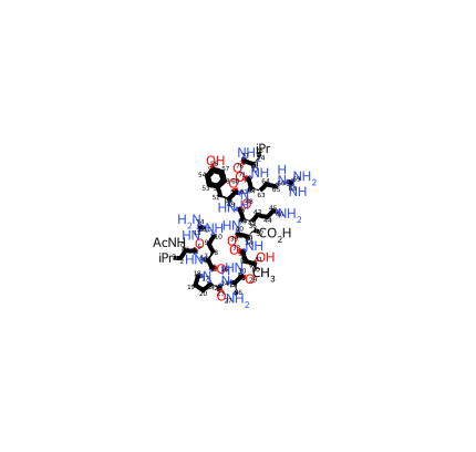 CC(=O)N[C@@H](CC(C)C)C(=O)N[C@@H](CCCNC(=N)N)C(=O)N1CCC[C@H]1C(=O)N[C@@H](CN)C(=O)N[C@H](C(=O)N[C@@H](CC(=O)O)C(=O)N[C@@H](CCCCN)C(=O)N[C@@H](Cc1ccc(O)cc1)C(=O)N[C@@H](CCCNC(=N)N)C(=O)N[C@@H](CC(C)C)C(N)=O)[C@@H](C)O